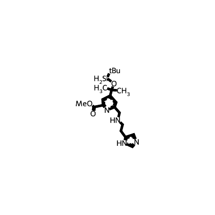 COC(=O)c1cc(C(C)(C)O[SiH2]C(C)(C)C)cc(CNCCc2cnc[nH]2)n1